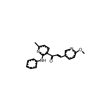 COc1ccc(C=CC(=O)c2ccc(C)nc2Nc2ccccc2)cn1